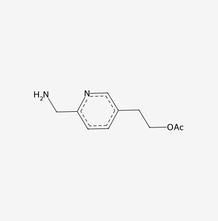 CC(=O)OCCc1ccc(CN)nc1